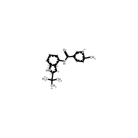 Cc1ccc(C(=O)Nc2cccc3[nH]c(C(C)(C)C)cc23)cn1